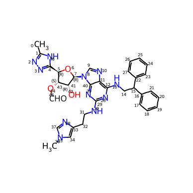 Cc1nnc([C@H]2O[C@@H](n3cnc4c(NCC(c5ccccc5)c5ccccc5)nc(NCCc5cn(C)cn5)nc43)[C@H](O)[C@@H]2OC=O)[nH]1